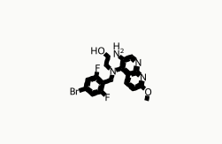 COc1ccc2c(N(CCO)Cc3c(F)cc(Br)cc3F)c(N)cnc2n1